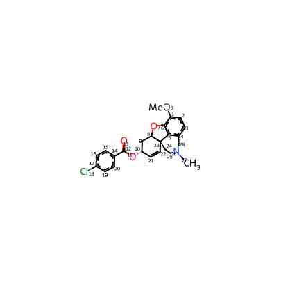 COc1ccc2c3c1OC1C[C@@H](OC(=O)c4ccc(Cl)cc4)C=C[C@@]31CCN(C)C2